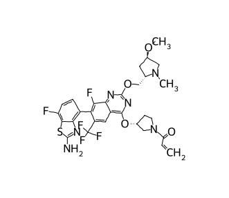 C=CC(=O)N1CC[C@@H](Oc2nc(OC[C@@H]3C[C@@H](OC)CN3C)nc3c(F)c(-c4ccc(F)c5sc(N)nc45)c(C(F)(F)F)cc23)C1